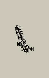 N#Cc1ccc(N2C(=O)C3CN4CC(C(=O)C(F)(F)C(F)(F)C(F)(F)C(F)(F)C(F)(F)C(F)(F)C(F)(F)F)[N+]3(C4)C2=O)c2cccnc12